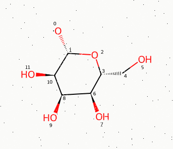 [O][C@@H]1O[C@H](CO)[C@@H](O)[C@@H](O)[C@H]1O